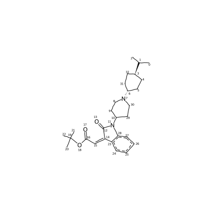 CC(C)[C@H]1CC[C@H](N2CCC(N3C(=O)C(=CC(=O)OC(C)(C)C)c4ccccc43)CC2)CC1